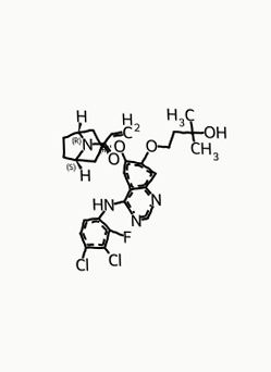 C=CC(=O)N1[C@@H]2CC[C@H]1C[C@@H](Oc1cc3c(Nc4ccc(Cl)c(Cl)c4F)ncnc3cc1OCCC(C)(C)O)C2